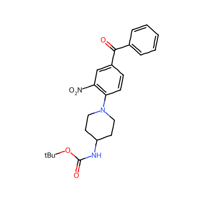 CC(C)(C)OC(=O)NC1CCN(c2ccc(C(=O)c3ccccc3)cc2[N+](=O)[O-])CC1